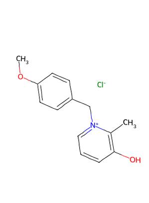 COc1ccc(C[n+]2cccc(O)c2C)cc1.[Cl-]